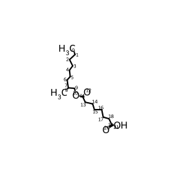 CCCCCCCC(C)COC(=O)CCCCCCC(=O)O